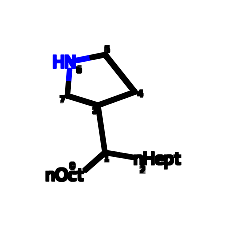 CCCCCCCCC(CCCCCCC)C1CCNC1